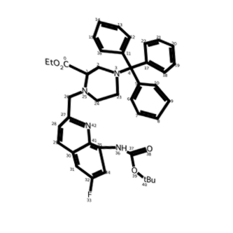 CCOC(=O)C1CN(C(c2ccccc2)(c2ccccc2)c2ccccc2)CCN1Cc1ccc2cc(F)cc(NC(=O)OC(C)(C)C)c2n1